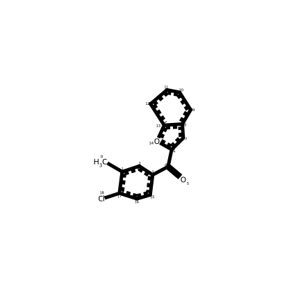 Cc1cc(C(=O)c2cc3ccccc3o2)ccc1Cl